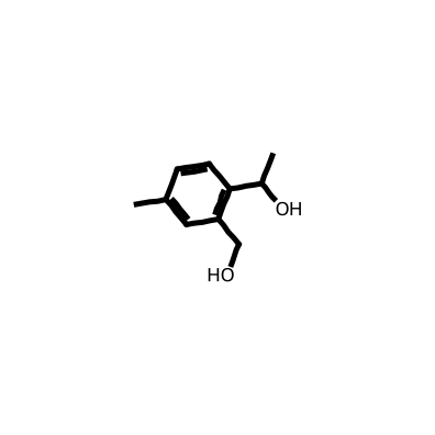 Cc1ccc(C(C)O)c(CO)c1